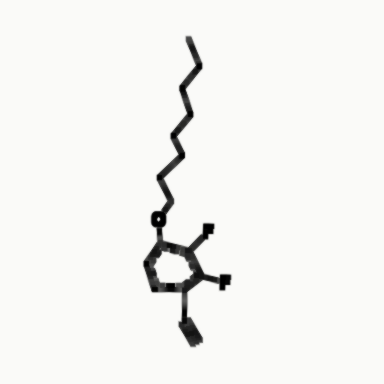 C#Cc1ccc(OCCCCCCCC)c(F)c1F